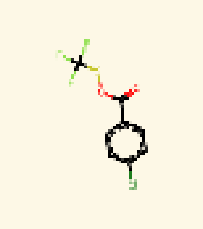 O=C(OSC(F)(F)F)c1ccc(Cl)cc1